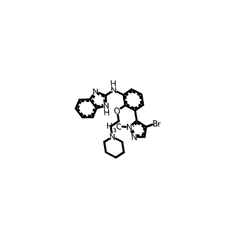 Cn1ncc(Br)c1-c1cccc(Nc2nc3ccccc3[nH]2)c1OCCN1CCCCC1